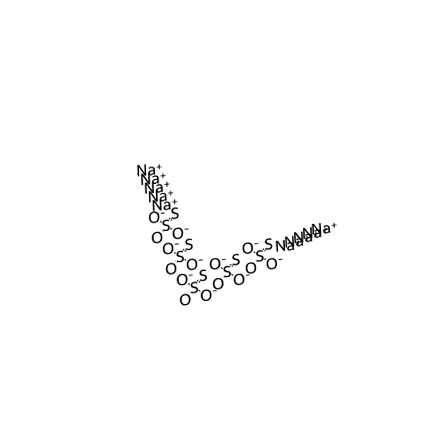 O=S([O-])([O-])=S.O=S([O-])([O-])=S.O=S([O-])([O-])=S.O=S([O-])([O-])=S.O=S([O-])([O-])=S.[Na+].[Na+].[Na+].[Na+].[Na+].[Na+].[Na+].[Na+].[Na+].[Na+]